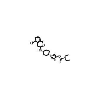 CCN(CC)C(=O)Oc1cn([C@H]2CC[C@@H](NC(=O)Cc3c(F)cccc3Cl)CC2)nn1